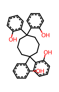 Oc1ccccc1C1(c2ccccc2O)CCCC(c2ccccc2O)(c2ccccc2O)CCC1